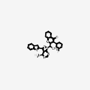 CC(c1oc2ccccc2c(=O)c1-c1cccc(F)c1)n1nc(-c2cc3ccccc3s2)c2c(N)ncnc21